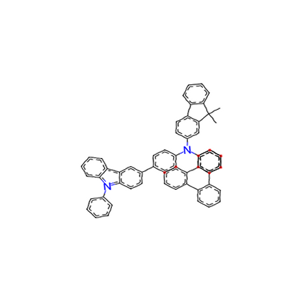 CC1(C)c2ccccc2-c2ccc(N(c3ccc(-c4ccc5c(c4)c4ccccc4n5-c4ccccc4)cc3)c3ccccc3-c3ccccc3-c3ccccc3-c3ccccc3)cc21